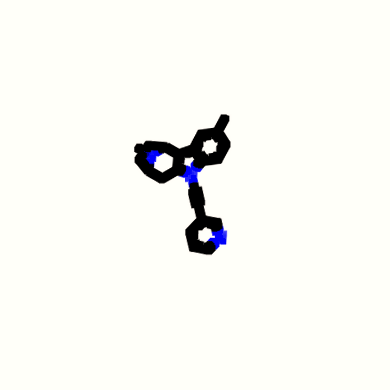 Cc1ccc2c(c1)c1c(n2C#Cc2cccnc2)CC2CCC1N2C